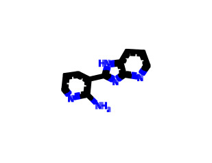 Nc1ncccc1-c1nc2ncccc2[nH]1